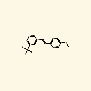 COc1ccc(C=Cc2cccc(C(F)(F)F)c2)cc1